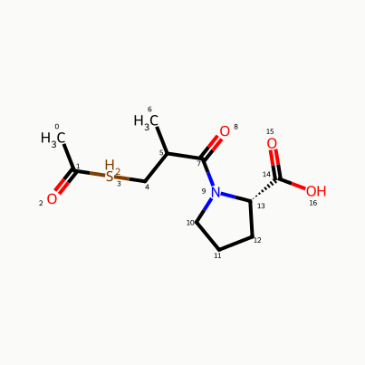 CC(=O)[SH2]CC(C)C(=O)N1CCC[C@H]1C(=O)O